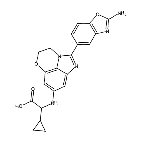 Nc1nc2cc(-c3nc4cc(NC(C(=O)O)C5CC5)cc5c4n3CCO5)ccc2o1